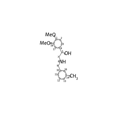 COc1ccc(C(O)CNCc2cccc(C)c2)cc1OC